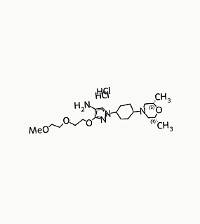 COCCOCCOc1nn(C2CCC(N3C[C@@H](C)O[C@@H](C)C3)CC2)cc1N.Cl.Cl